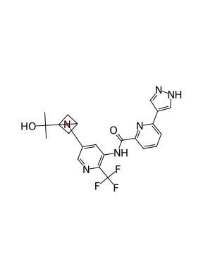 CC(C)(O)C12CC(C1)N(c1cnc(C(F)(F)F)c(NC(=O)c3cccc(-c4cn[nH]c4)n3)c1)C2